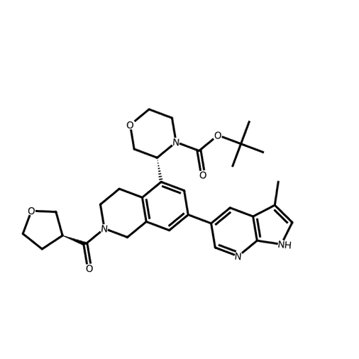 Cc1c[nH]c2ncc(-c3cc4c(c([C@@H]5COCCN5C(=O)OC(C)(C)C)c3)CCN(C(=O)[C@H]3CCOC3)C4)cc12